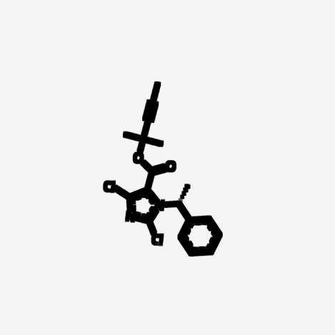 CC#CC(C)(C)OC(=O)c1c(Cl)nc(Cl)n1[C@H](C)c1ccccc1